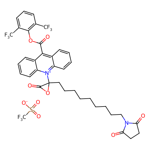 O=C(Oc1c(C(F)(F)F)cccc1C(F)(F)F)c1c2ccccc2[n+](C2(CCCCCCCCCN3C(=O)CCC3=O)OC2=O)c2ccccc12.O=S(=O)([O-])C(F)(F)F